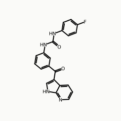 O=C(Nc1ccc(F)cc1)Nc1cccc(C(=O)c2c[nH]c3ncccc23)c1